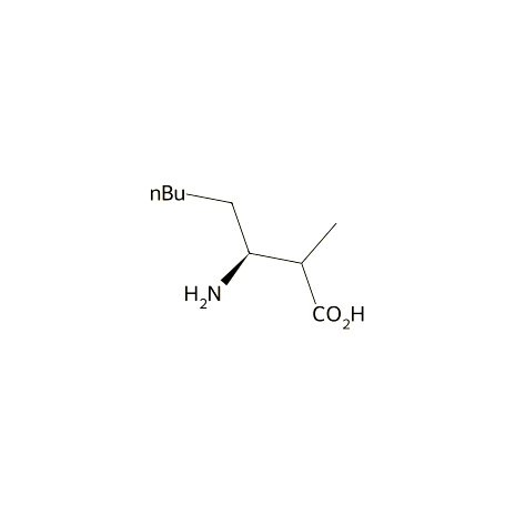 CCCCC[C@H](N)C(C)C(=O)O